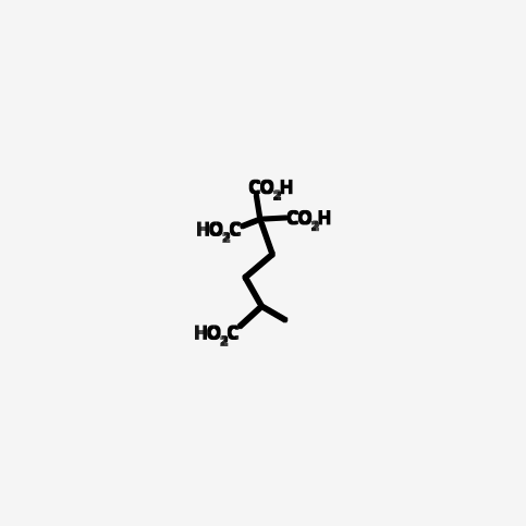 CC(CCC(C(=O)O)(C(=O)O)C(=O)O)C(=O)O